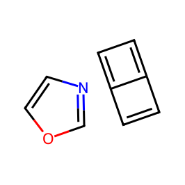 c1cc2ccc1-2.c1cocn1